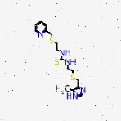 Cc1[nH]cnc1CSCCNC(=S)NCCSCc1ccccn1